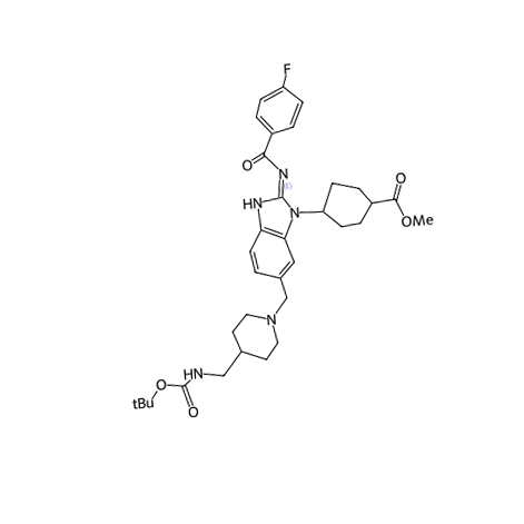 COC(=O)C1CCC(n2/c(=N/C(=O)c3ccc(F)cc3)[nH]c3ccc(CN4CCC(CNC(=O)OC(C)(C)C)CC4)cc32)CC1